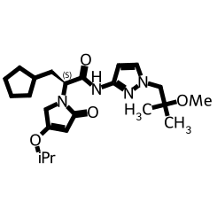 COC(C)(C)Cn1ccc(NC(=O)[C@H](CC2CCCC2)N2CC(OC(C)C)=CC2=O)n1